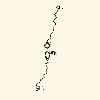 SCCCCCCCCCC[n+]1ccc(-c2cc[n+](CCCCCCCCCCS)cc2)cc1.[Br-].[Br-]